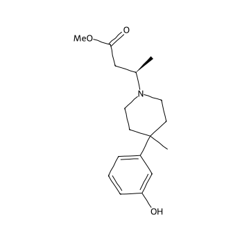 COC(=O)C[C@@H](C)N1CCC(C)(c2cccc(O)c2)CC1